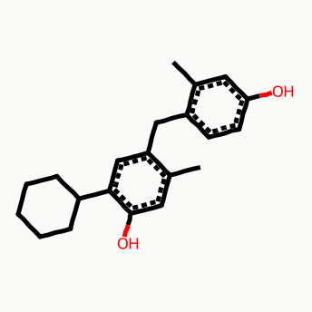 Cc1cc(O)ccc1Cc1cc(C2CCCCC2)c(O)cc1C